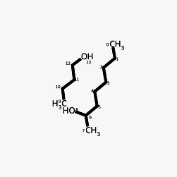 CCCCCCC(C)O.CCCCO